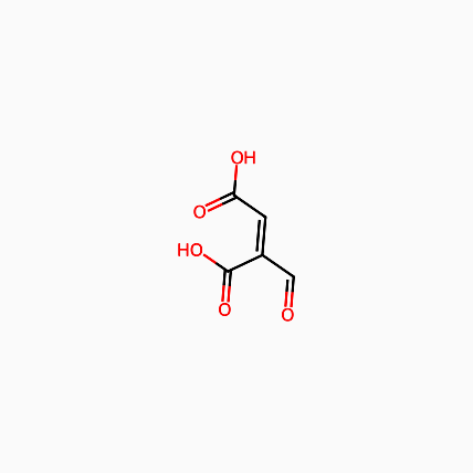 O=CC(=CC(=O)O)C(=O)O